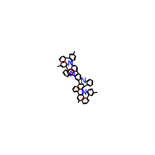 Cc1ccc(N(c2ccc(C)cc2-c2ccccc2)c2ccc3c4cc5c(cc4n4c6ccccc6c2c34)c2ccc(N(c3ccc(C)cc3-c3ccccc3)c3ccc(C)cc3-c3ccccc3)c3c4ccccc4n5c23)c(-c2ccccc2)c1